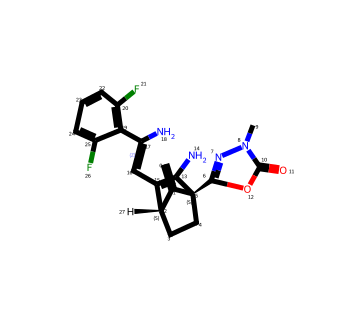 C=C1[C@@H]2CC[C@@]1(c1nn(C)c(=O)o1)C(N)=C2/C=C(\N)c1c(F)cccc1F